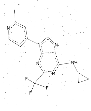 Cc1cc(-n2cnc3c(NC4CC4)nc(C(F)(F)F)nc32)ccn1